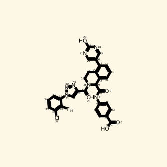 O=C(O)c1ccc(NC(=O)C2c3cccc(-c4cnc(O)nc4)c3CCN2C(=O)c2cn(-c3cccc(Cl)c3F)nn2)cc1